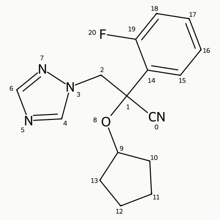 N#CC(Cn1cncn1)(OC1CCCC1)c1ccccc1F